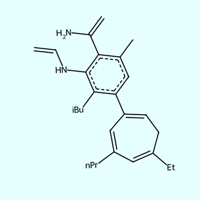 C=CNc1c(C(=C)N)c(C)cc(C2=CCC(CC)=CC(CCC)=C2)c1C(C)CC